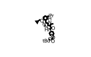 Cc1[nH]c2c(-c3cc(C(C)C)ccc3OCC3CC3)ncnc2c1C(=O)NC1CCN(OC(=O)OC(C)(C)C)CC1